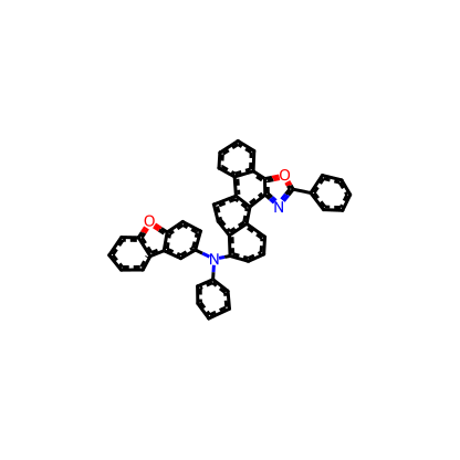 c1ccc(-c2nc3c(o2)c2ccccc2c2ccc4c(N(c5ccccc5)c5ccc6oc7ccccc7c6c5)cccc4c23)cc1